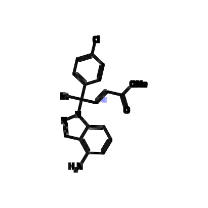 CCC(/C=C/C(=O)OC)(c1ccc(Cl)cc1)n1ncc2c(N)cccc21